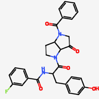 O=C(NC(Cc1ccc(O)cc1)C(=O)N1CCC2C1C(=O)CN2C(=O)c1ccccc1)c1cccc(F)c1